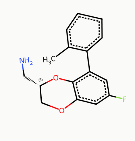 Cc1ccccc1-c1cc(F)cc2c1O[C@@H](CN)CO2